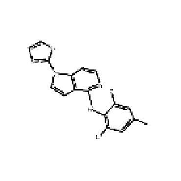 Fc1cc(Cl)c(Nc2nccc3c2ccn3-c2ncco2)c(Cl)c1